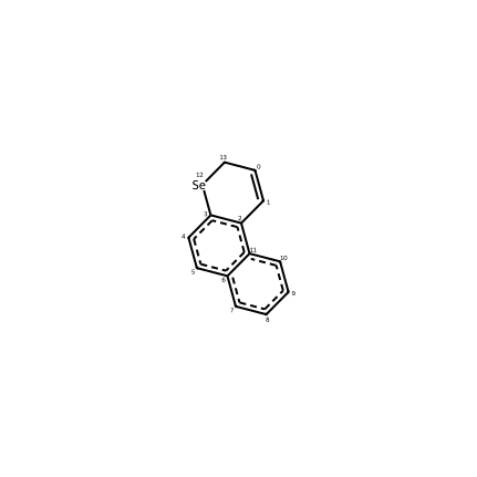 C1=Cc2c(ccc3ccccc23)[Se]C1